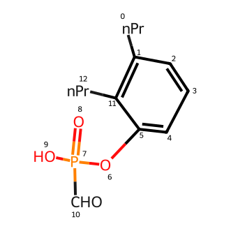 CCCc1cccc(OP(=O)(O)C=O)c1CCC